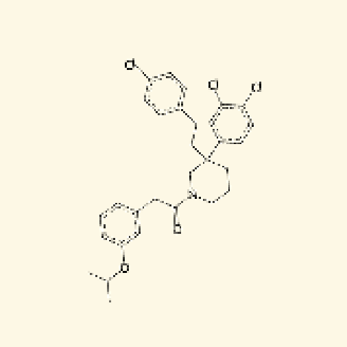 CC(C)Oc1cccc(CC(=O)N2CCCC(CCc3ccc(Cl)cc3)(c3ccc(Cl)c(Cl)c3)C2)c1